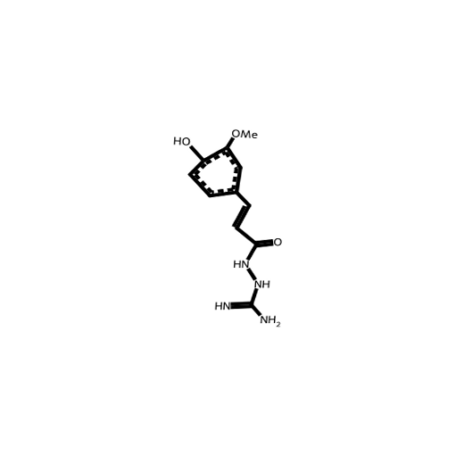 COc1cc(/C=C/C(=O)NNC(=N)N)ccc1O